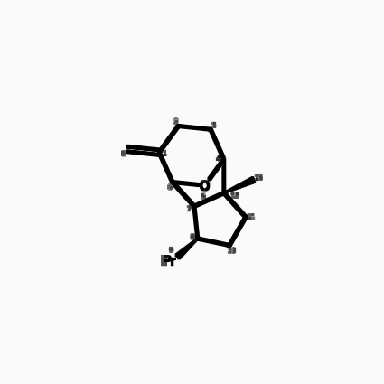 C=C1CCC2OC1C1[C@H](C(C)C)CC[C@@]21C